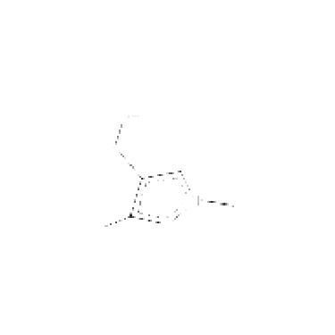 Cc1cn(C)cc1CO